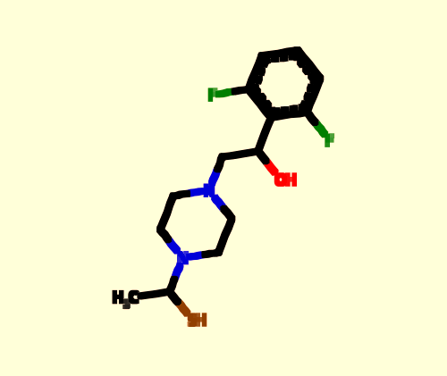 CC(S)N1CCN(CC(O)c2c(F)cccc2F)CC1